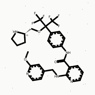 COc1cc(CNc2ncccc2C(=O)Nc2ccc(C(OC[C@@H]3CCCN3)(C(F)(F)F)C(F)(F)F)cc2)ccn1